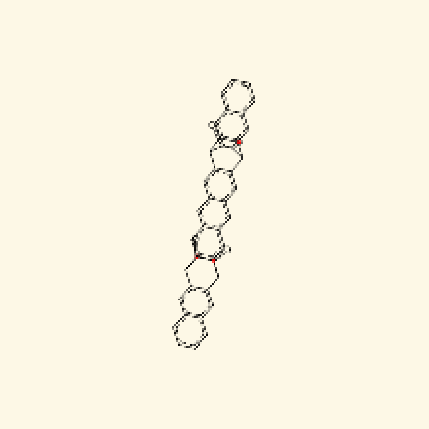 O=C1C(=O)C2c3cc4ccccc4cc3C1c1cc3cc4cc5c(cc4cc3cc12)C1C(=O)C(=O)C5c2cc3ccccc3cc21